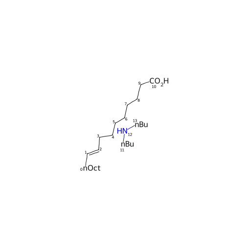 CCCCCCCCC=CCCCCCCCC(=O)O.CCCCNCCCC